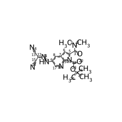 CN(C)C(=O)c1cc2cc(NN=C(C#N)C#N)cnc2n1C(=O)OC(C)(C)C